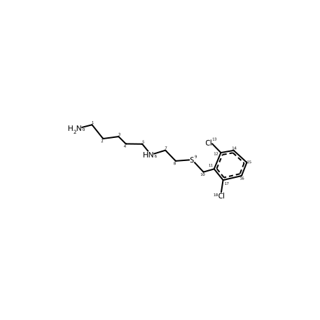 NCCCCCNCCSCc1c(Cl)cccc1Cl